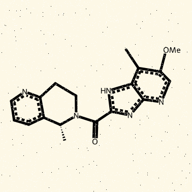 COc1cnc2nc(C(=O)N3CCc4ncccc4[C@H]3C)[nH]c2c1C